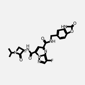 CC(C)N1C[C@H](NC(=O)c2cc(C(=O)NCc3ccc4oc(=O)[nH]c4c3)nc3c(F)cnn23)C1=O